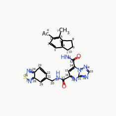 CC(=O)c1ccc2c(c1C)CC[C@@H]2NC(=O)c1cc(C(=O)NCc2ccc3nsnc3c2)nc2ncnn12